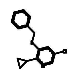 Clc1cnc(C2CC2)c(SCc2ccccc2)c1